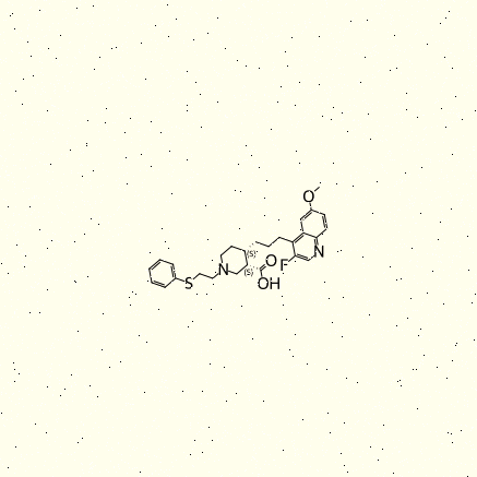 COc1ccc2ncc(F)c(CCC[C@H]3CCN(CCSc4ccccc4)C[C@H]3C(=O)O)c2c1